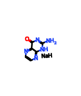 Nc1nc(=O)c2nccnc2[nH]1.[NaH]